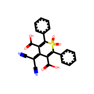 N#CC(C#N)=C1C(C(=O)O)=C(c2ccccc2)S(=O)(=O)C(c2ccccc2)=C1C(=O)O